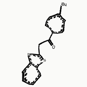 CCC(C)c1ccc(C(=O)Cc2nc3ccccc3s2)cc1